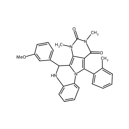 COc1cccc(C2Nc3ccccc3-n3c(-c4ccccc4C)c4c(=O)n(C)c(=O)n(C)c4c32)c1